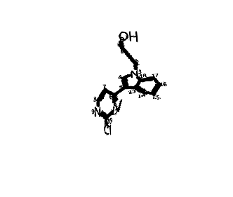 OCCn1cc(-c2ccnc(Cl)n2)c2ccccc21